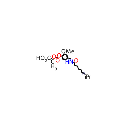 COc1cc(CNC(=O)CCCC/C=C/C(C)C)ccc1OC(=O)OC(C)C(=O)O